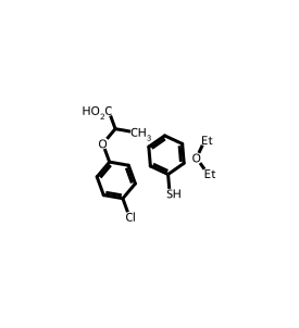 CC(Oc1ccc(Cl)cc1)C(=O)O.CCOCC.Sc1ccccc1